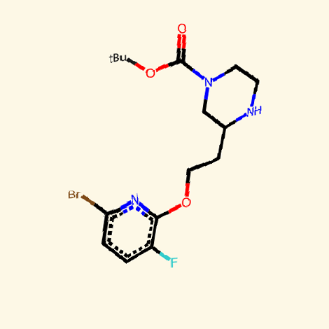 CC(C)(C)OC(=O)N1CCNC(CCOc2nc(Br)ccc2F)C1